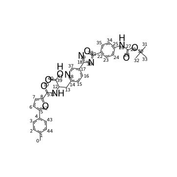 Cc1ccc(-c2ccc(C(=O)NC(Cc3ccc(-c4noc(-c5ccc(NC(=O)OC(C)(C)C)cc5)n4)cn3)C(=O)O)o2)cc1